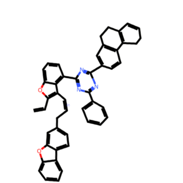 C=Cc1oc2cccc(-c3nc(-c4ccccc4)nc(-c4ccc5c(c4)CCC4=C5CCC=C4)n3)c2c1/C=C\Cc1ccc2c(c1)oc1ccccc12